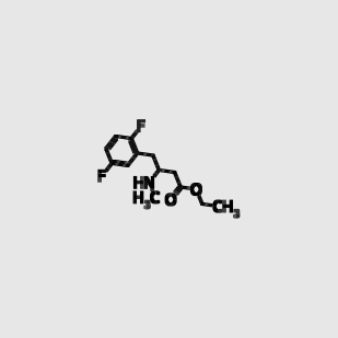 CCOC(=O)CC(Cc1cc(F)ccc1F)NC